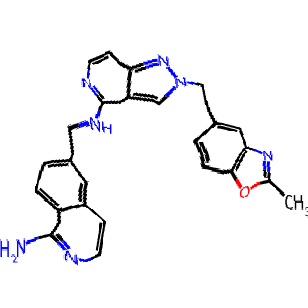 Cc1nc2cc(Cn3cc4c(NCc5ccc6c(N)nccc6c5)nccc4n3)ccc2o1